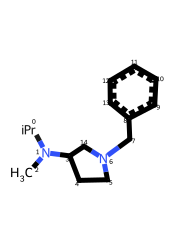 CC(C)N(C)C1CCN(Cc2ccccc2)C1